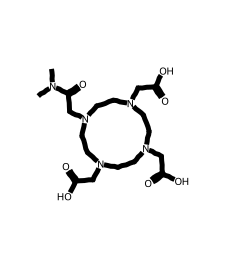 CN(C)C(=O)CN1CCN(CC(=O)O)CCN(CC(=O)O)CCN(CC(=O)O)CC1